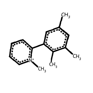 Cc1cc(C)c(C)c(-c2cccc[n+]2C)c1